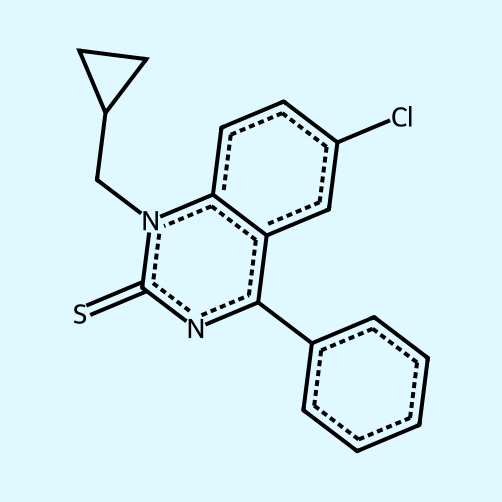 S=c1nc(-c2ccccc2)c2cc(Cl)ccc2n1CC1CC1